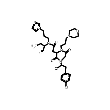 CCC(C=O)N(CCCn1ccnc1)C(=O)CC1C(=O)N(C(Cl)Cc2ccc(Cl)cc2)CC(=O)N1CCCN1CCOCC1